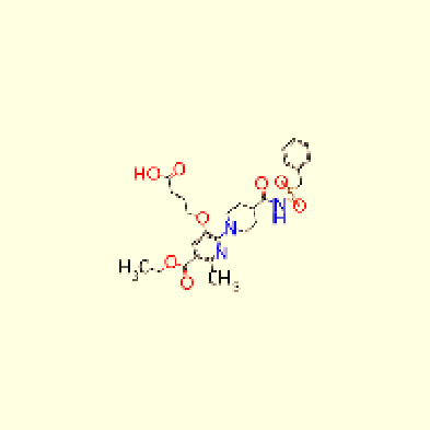 CCOC(=O)c1cc(OCCCC(=O)O)c(N2CCC(C(=O)NS(=O)(=O)Cc3ccccc3)CC2)nc1C